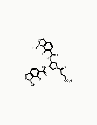 O=C(O)CCC(=O)N1C[C@H](NC(=O)c2ccc3c(c2F)B(O)OC3)[C@@H](NC(=O)c2ccc3c(c2F)B(O)OC3)C1